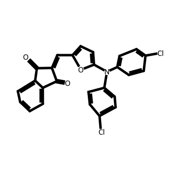 O=C1C(=Cc2ccc(N(c3ccc(Cl)cc3)c3ccc(Cl)cc3)o2)C(=O)c2ccccc21